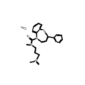 CN(C)CCCN(C)C(=O)N1CCC(c2ccccc2)Sc2ccccc21.Cl